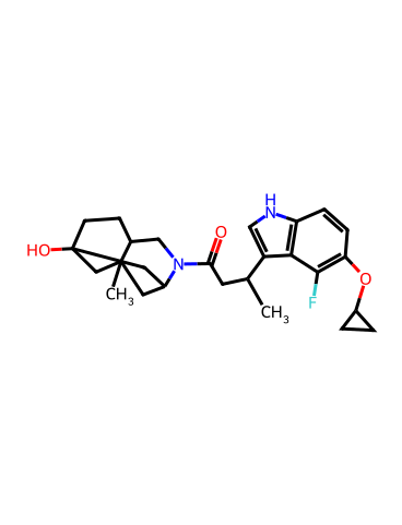 CC(CC(=O)N1CC2CCC3(O)CC1CC2(C)C3)c1c[nH]c2ccc(OC3CC3)c(F)c12